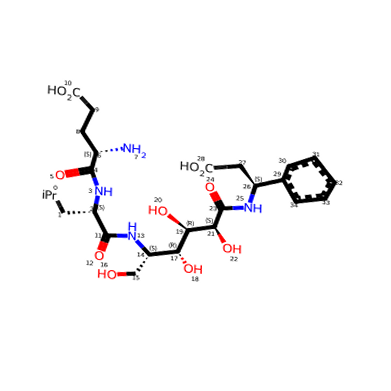 CC(C)C[C@H](NC(=O)[C@@H](N)CCC(=O)O)C(=O)N[C@@H](CO)[C@@H](O)[C@@H](O)[C@H](O)C(=O)N[C@@H](CC(=O)O)c1ccccc1